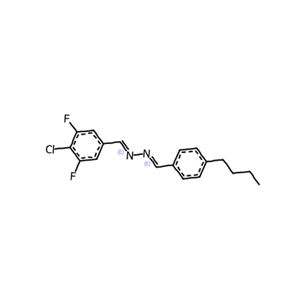 CCCCc1ccc(/C=N/N=C/c2cc(F)c(Cl)c(F)c2)cc1